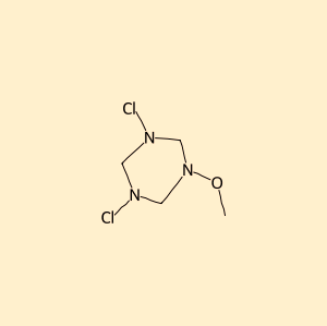 CON1CN(Cl)CN(Cl)C1